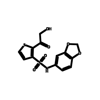 O=C(CO)c1sccc1S(=O)(=O)Nc1ccc2c(c1)OCO2